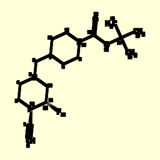 C#C[C@@H]1CCN(CC2CCN(C(=O)OC(C)(C)C)CC2)C[C@@H]1F